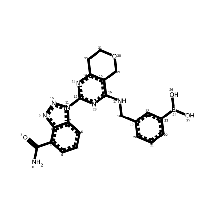 NC(=O)c1cccc2c1nnn2-c1nc2c(c(NCc3cccc(B(O)O)c3)n1)COCC2